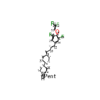 CCCCC[Si@H]1CC[C@H]([C@H]2CC[C@H](CCCCc3cc(F)c(OC=C(F)F)c(F)c3)CC2)CC1